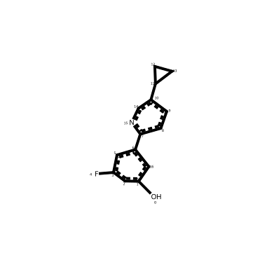 Oc1cc(F)cc(-c2ccc(C3CC3)cn2)c1